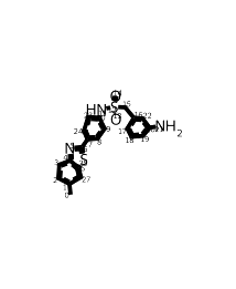 Cc1ccc2nc(-c3ccc(NS(=O)(=O)Cc4cccc(N)c4)cc3)sc2c1